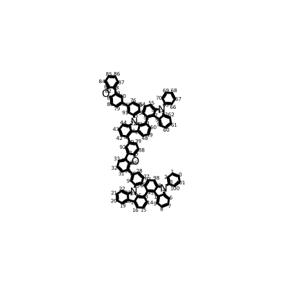 c1ccc(-n2c3ccccc3c3c(-c4cccc5c6ccccc6n(-c6cccc(-c7cccc8c7oc7ccc(-c9cccc%10c9c9cccc(-c%11cccc%12c%11c%11ccccc%11n%12-c%11ccccc%11)c9n%10-c9cccc(-c%10ccc%11oc%12ccccc%12c%11c%10)c9)cc78)c6)c45)cccc32)cc1